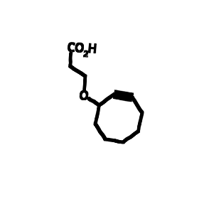 O=C(O)CCOC1C#CCCCCC1